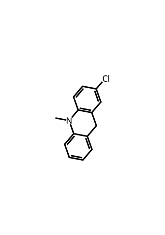 CN1c2ccccc2Cc2cc(Cl)ccc21